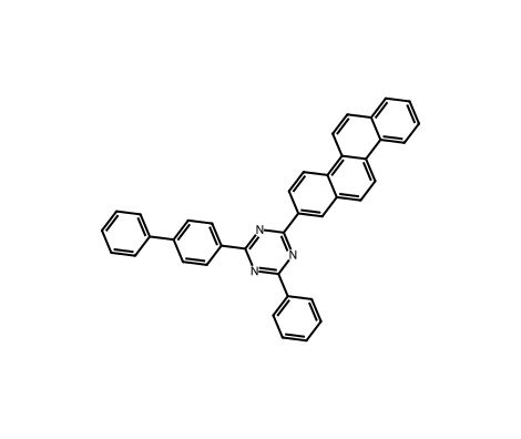 c1ccc(-c2ccc(-c3nc(-c4ccccc4)nc(-c4ccc5c(ccc6c7ccccc7ccc56)c4)n3)cc2)cc1